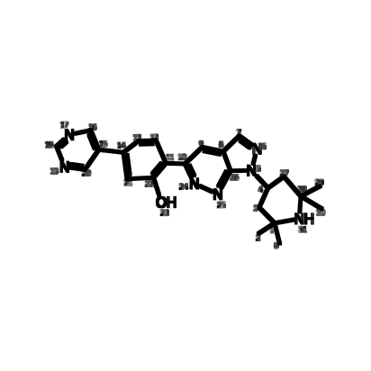 CC1(C)CC(n2ncc3cc(-c4ccc(-c5cncnc5)cc4O)nnc32)CC(C)(C)N1